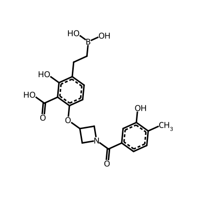 Cc1ccc(C(=O)N2CC(Oc3ccc(CCB(O)O)c(O)c3C(=O)O)C2)cc1O